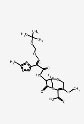 CSC1=C(C(=O)O)N2C(=O)C(NC(=O)/C(=N/OCOC(C)(C)C)c3csc(N)n3)[C@H]2SC1